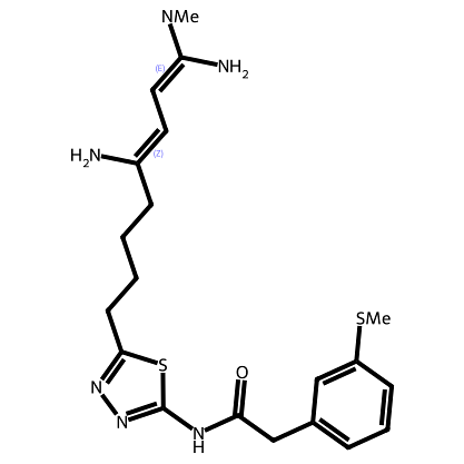 CN/C(N)=C/C=C(\N)CCCCc1nnc(NC(=O)Cc2cccc(SC)c2)s1